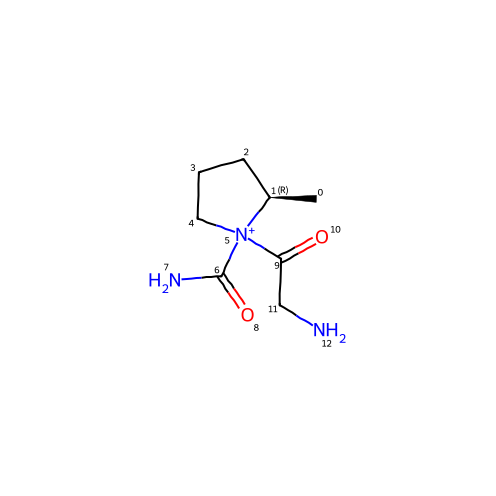 C[C@@H]1CCC[N+]1(C(N)=O)C(=O)CN